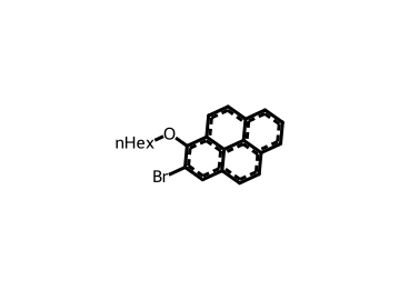 CCCCCCOc1c(Br)cc2ccc3cccc4ccc1c2c34